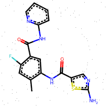 Cc1cc(F)c(C(=O)Nc2ccccn2)cc1NC(=O)c1cnc(N)s1